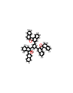 c1ccc2cc3c(cc2c1)oc1c(-c2cc(-c4cc5ccccc5c5c4oc4ccc6ccccc6c45)cc(-c4cc5ccccc5c5c4oc4ccc6ccccc6c45)c2)cc2ccccc2c13